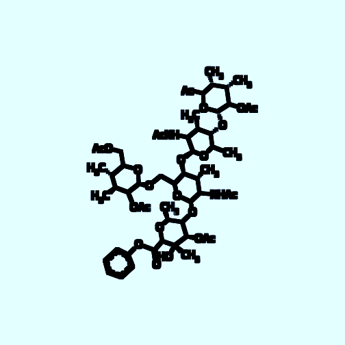 CC(=O)NC1[C@H](O[C@@H]2C(CO[C@@H]3OC(COC(C)=O)[C@@H](C)[C@H](C)C3OC(C)=O)O[C@@H](OC3[C@H](C)OC(C(=O)Oc4ccccc4)[C@@](C)(O)[C@@H]3OC(C)=O)C(NC(C)=O)[C@H]2C)OC(C)[C@@H](O[C@@H]2OC(C(C)=O)[C@H](C)[C@H](C)C2OC(C)=O)[C@@H]1C